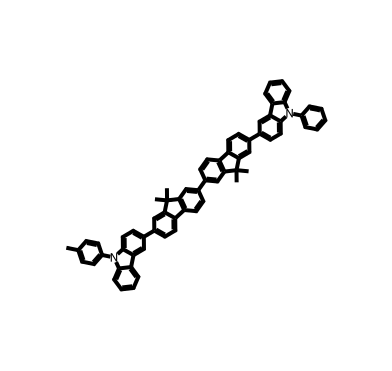 Cc1ccc(-n2c3ccccc3c3cc(-c4ccc5c(c4)C(C)(C)c4cc(-c6ccc7c(c6)C(C)(C)c6cc(-c8ccc9c(c8)c8ccccc8n9-c8ccccc8)ccc6-7)ccc4-5)ccc32)cc1